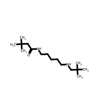 CC(C)(C)CNCCCCCNC(=O)CC(C)(C)C